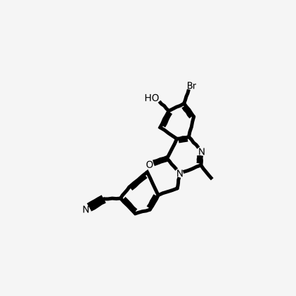 Cc1nc2cc(Br)c(O)cc2c(=O)n1Cc1ccc(C#N)cc1